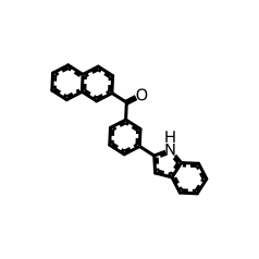 O=C(c1cccc(-c2cc3ccccc3[nH]2)c1)c1ccc2ccccc2c1